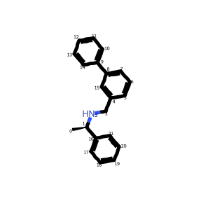 C[C@@H](NCc1cccc(-c2ccccc2)c1)c1ccccc1